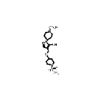 CS(=O)(=O)N1CCC(OCc2cnn(C3CCN(C(=O)O)CC3)c2C#N)CC1